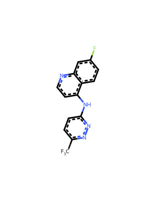 Fc1ccc2c(Nc3ccc(C(F)(F)F)nn3)ccnc2c1